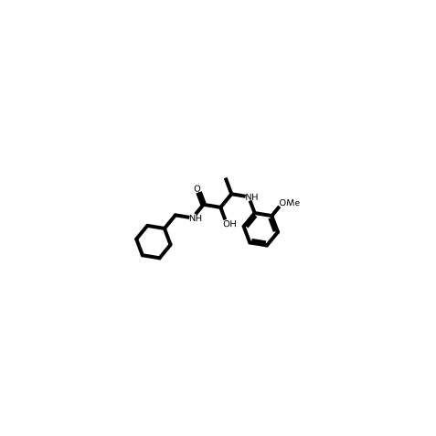 COc1ccccc1NC(C)C(O)C(=O)NCC1CCCCC1